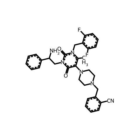 Cc1c(N2CCN(Cc3ccccc3C#N)CC2)c(=O)n(CC(N)c2ccccc2)c(=O)n1Cc1c(F)cccc1F